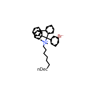 CCCCCCCCCCCCCCCC[N+](C)(C)C(c1ccccc1)(c1ccccc1)c1ccccc1-c1ccccc1.[Br-]